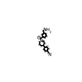 N#Cc1ccc(C2CCCN(C(=O)c3cccc(CN)c3)CC2)cc1